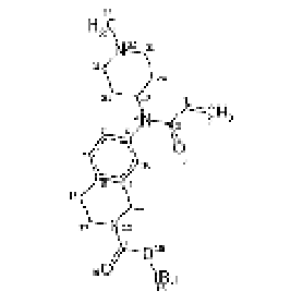 C=CC(=O)N(c1ccc2c(c1)CN(C(=O)OC(C)(C)C)CC2)C1CCN(C)CC1